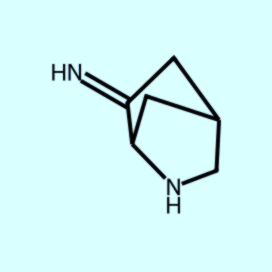 N=C1CC2CNC1C2